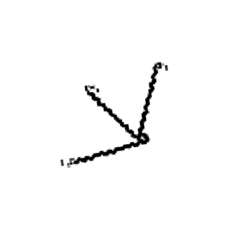 CCCCCCCCCCCCCCCCCCc1c[c]cc(CCCCCCCCCCCCCCCCCC)c1CCCCCCCCCCCCCCCCCC